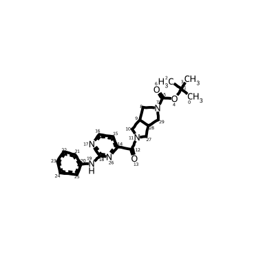 CC(C)(C)OC(=O)N1CC2CN(C(=O)c3ccnc(Nc4ccccc4)n3)CC2C1